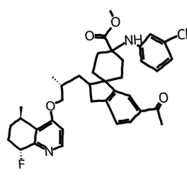 COC(=O)C1(Nc2cccc(Cl)c2)CCC2(CC1)c1cc(C(C)=O)ccc1CC2C[C@@H](C)COc1ccnc2c1[C@H](C)CC[C@H]2F